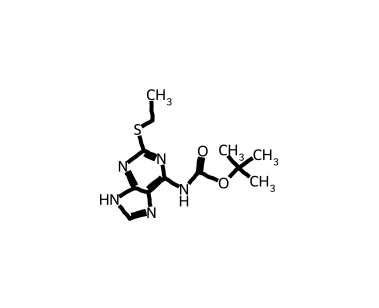 CCSc1nc(NC(=O)OC(C)(C)C)c2nc[nH]c2n1